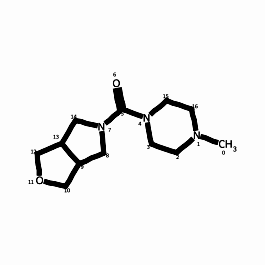 CN1CCN(C(=O)N2CC3COCC3C2)CC1